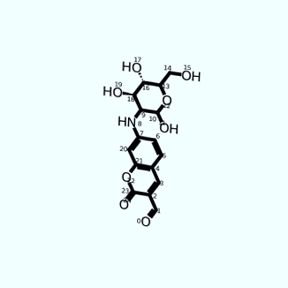 O=Cc1cc2ccc(NC3C(O)OC(CO)[C@@H](O)[C@@H]3O)cc2oc1=O